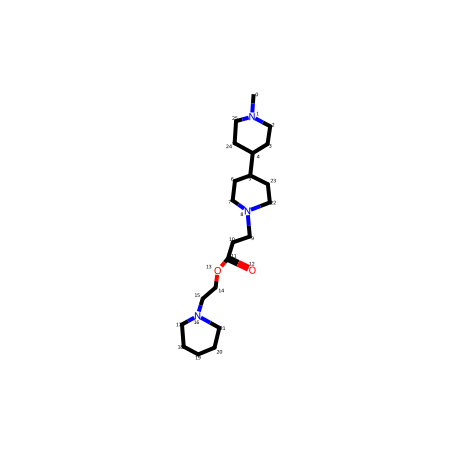 CN1CCC(C2CCN(CCC(=O)OCCN3CCCCC3)CC2)CC1